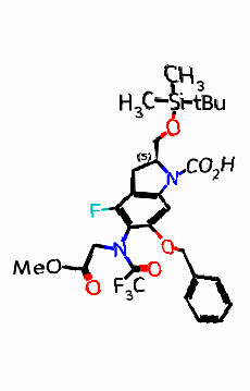 COC(=O)CN(C(=O)C(F)(F)F)c1c(OCc2ccccc2)cc2c(c1F)C[C@@H](CO[Si](C)(C)C(C)(C)C)N2C(=O)O